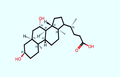 C[C@H](CCC(=O)O)C1CC[C@H]2[C@@H]3[C@@H](O)C[C@@H]4C[C@H](O)CC[C@]4(C)[C@H]3CC[C@]12C